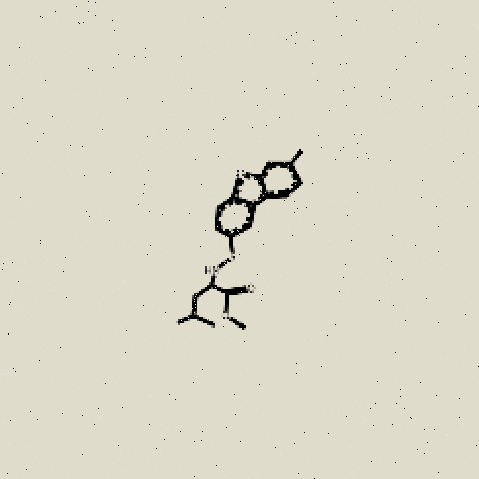 COC(=O)C(CC(C)C)NSc1ccc2oc3cc(C)ccc3c2c1